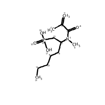 C=C(C)C(=O)N(C)C(CCCCC)CP(=O)(O)O